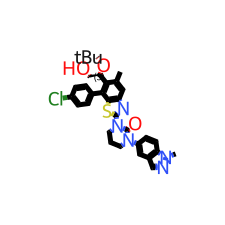 Cc1cc2nc(N3CCCN(c4ccc5c(cnn5C)c4)C3=O)sc2c(-c2ccc(Cl)cc2)c1[C@@H](CO)OC(C)(C)C